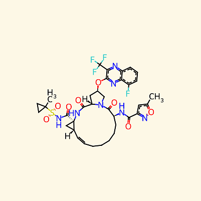 Cc1cc(C(=O)N[C@H]2CCCCC/C=C\[C@@H]3C[C@@]3(C(=O)NS(=O)(=O)C3(C)CC3)NC(=O)[C@@H]3C[C@@H](Oc4nc5c(F)cccc5nc4C(F)(F)F)CN3C2=O)no1